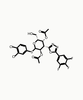 CC(=O)O[C@@H]1[C@H](c2nnc(-c3cc(F)c(F)c(F)c3)o2)[C@@H](OC(C)=O)C(Sc2ccc(Cl)c(Cl)c2)O[C@@H]1CO